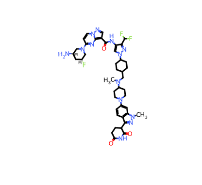 CN(CC1CCC(n2cc(NC(=O)c3cnn4ccc(N5C[C@H](N)C[C@@H](F)C5)nc34)c(C(F)F)n2)CC1)C1CCN(c2ccc3c(C4CCC(=O)NC4=O)nn(C)c3c2)CC1